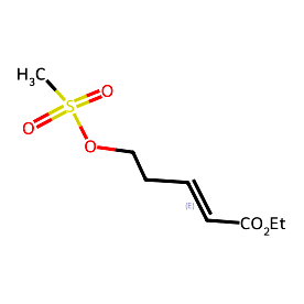 CCOC(=O)/C=C/CCOS(C)(=O)=O